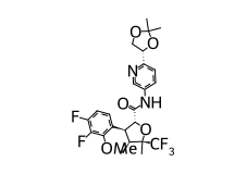 COc1c([C@H]2[C@H](C(=O)Nc3ccc([C@@H]4COC(C)(C)O4)nc3)O[C@@](C)(C(F)(F)F)[C@H]2C)ccc(F)c1F